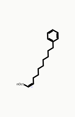 CCCCCCCC/C=C\CCCCCCCCc1cc[c]cc1